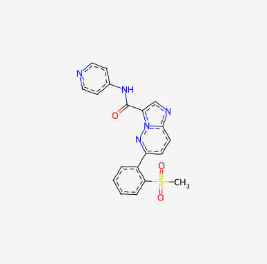 CS(=O)(=O)c1ccccc1-c1ccc2ncc(C(=O)Nc3ccncc3)n2n1